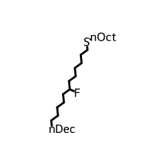 CCCCCCCCCCCCCCCC(F)CCCCCCSCCCCCCCC